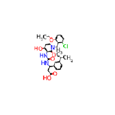 CCOc1cccc(Cl)c1Cn1ccc(O)c(NC(=O)NC(CC(=O)O)c2cccc(C(C)C)c2)c1=O